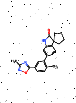 Cc1noc(-c2ccc(C)c(-c3ccc4c(c3)NC(=O)C43CCCC3)c2)n1